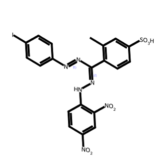 Cc1cc(S(=O)(=O)O)ccc1C(=N/Nc1ccc([N+](=O)[O-])cc1[N+](=O)[O-])/N=N/c1ccc(I)cc1